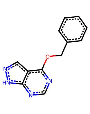 c1ccc(COc2ncnc3[nH]ncc23)cc1